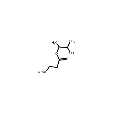 CCCCCCCC(=O)OC(C)C(C)O